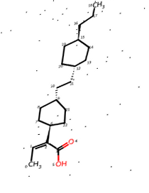 CC=C(C(=O)O)[C@H]1CC[C@H](CC[C@H]2CC[C@H](CCC)CC2)CC1